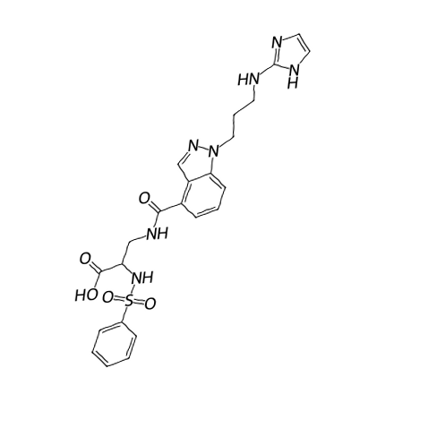 O=C(NCC(NS(=O)(=O)c1ccccc1)C(=O)O)c1cccc2c1cnn2CCCNc1ncc[nH]1